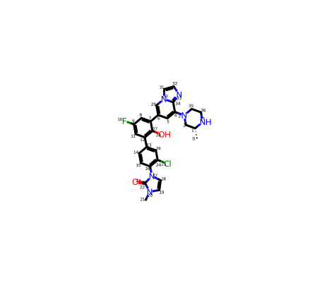 C[C@@H]1CN(c2cc(-c3cc(F)cc(-c4ccc(-n5ccn(C)c5=O)c(Cl)c4)c3O)cn3ccnc23)CCN1